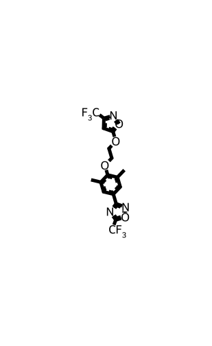 Cc1cc(-c2noc(C(F)(F)F)n2)cc(C)c1OCCOc1cc(C(F)(F)F)no1